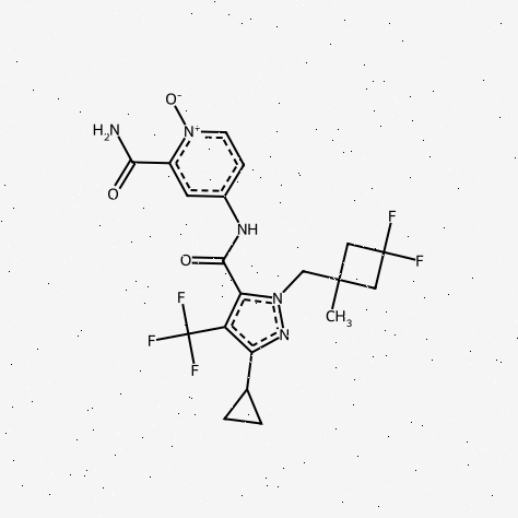 CC1(Cn2nc(C3CC3)c(C(F)(F)F)c2C(=O)Nc2cc[n+]([O-])c(C(N)=O)c2)CC(F)(F)C1